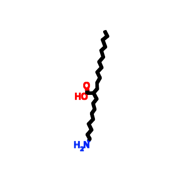 CCCCCCCCCCCCC(CCCCCCCCCN)C(=O)O